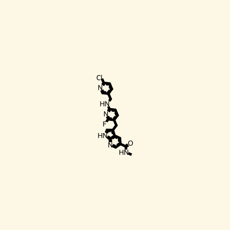 CNC(=O)c1cnc2[nH]cc(Cc3ccc(NCc4ccc(Cl)nc4)nc3F)c2c1